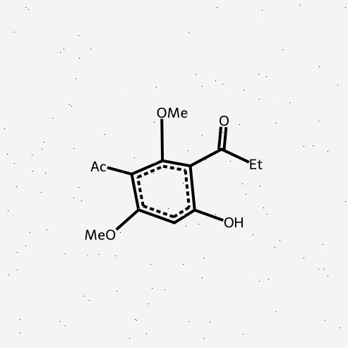 CCC(=O)c1c(O)cc(OC)c(C(C)=O)c1OC